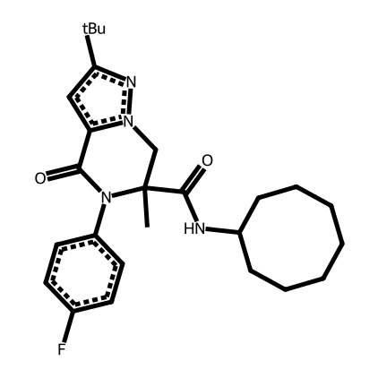 CC(C)(C)c1cc2n(n1)CC(C)(C(=O)NC1CCCCCCC1)N(c1ccc(F)cc1)C2=O